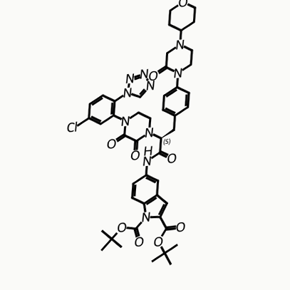 CC(C)(C)OC(=O)c1cc2cc(NC(=O)[C@H](Cc3ccc(N4CCN(C5CCOCC5)CC4=O)cc3)N3CCN(c4cc(Cl)ccc4-n4cnnn4)C(=O)C3=O)ccc2n1C(=O)OC(C)(C)C